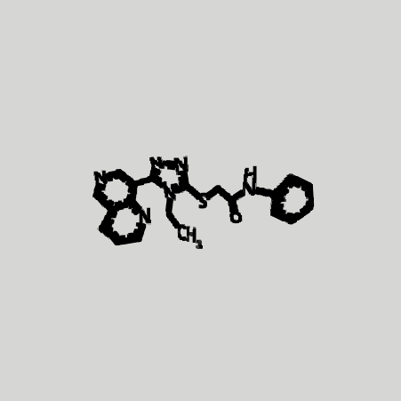 CCn1c(SCC(=O)Nc2ccccc2)nnc1-c1cncc2cccnc12